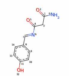 NC(=O)CC(=O)N=Cc1ccc(O)cc1